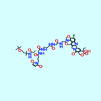 CC[C@@]1(O)C(=O)OCc2c1cc1n(c2=O)Cc2c-1nc1cc(F)c3c(c1c2C)N(C(=O)CNC(=O)CNC(=O)CCCNC(=O)[C@@H](CCC(=O)NC(C)(C)CCOC(C)(C)C)NC(=O)CCCN1C(=O)C=CC1=O)CO3